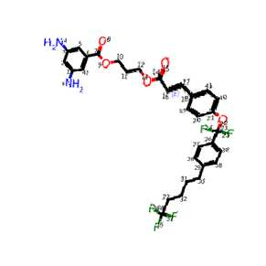 Nc1cc(N)cc(C(=O)OCCCOC(=O)/C=C/c2ccc(OC(F)(F)c3ccc(CCCCC(F)(F)F)cc3)cc2)c1